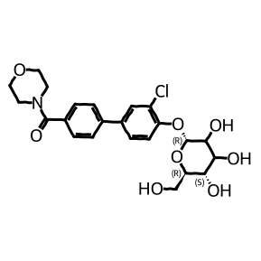 O=C(c1ccc(-c2ccc(O[C@H]3O[C@H](CO)[C@@H](O)C(O)C3O)c(Cl)c2)cc1)N1CCOCC1